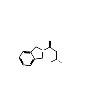 CC(=O)O[C@@H](C(=O)O)[C@@H](OC(C)=O)C(=O)N1Cc2ccccc2C1